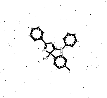 Cc1ccc(C2(O)N=C(c3ccccc3)N=C2Nc2ccccc2)cc1